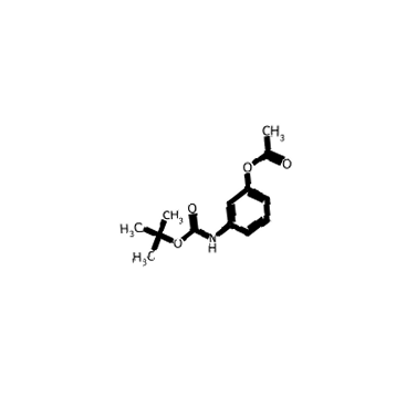 CC(=O)Oc1c[c]cc(NC(=O)OC(C)(C)C)c1